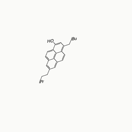 CCC(C)Cc1cc(O)c2ccc3cc(CCC(C)C)cc4ccc1c2c34